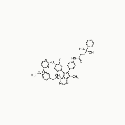 COc1ccc(CNc2ncnc3c(C)c(-c4ccc(NC(=O)CCS(O)(O)c5ccccc5)cc4)n(-c4cc(F)c(Oc5nccc(C)n5)cc4C)c23)cc1